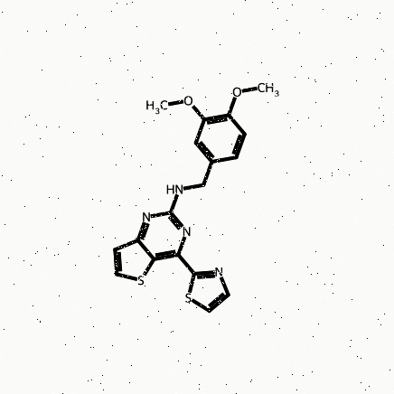 COc1ccc(CNc2nc(-c3nccs3)c3sccc3n2)cc1OC